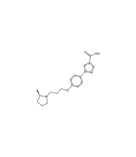 C[C@@H]1CCCN1CCCOc1ccc(-n2cc(C(=O)O)cn2)cc1